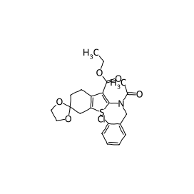 CCOC(=O)c1c(N(Cc2ccccc2Cl)C(C)=O)sc2c1CCC1(C2)OCCO1